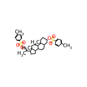 Cc1ccc(S(=O)(=O)OCC(C)C2CCC3C4CCC5C[C@H](OS(=O)(=O)c6ccc(C)cc6)CCC5(C)C4CCC23C)cc1